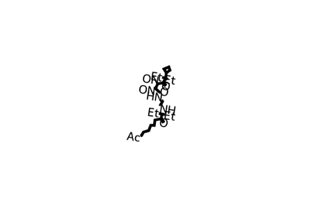 CCC(CC)(NCCNC(=O)[C@H](N=O)[C@@H](N=O)C(=O)C(CC)(CC)C1CCC1)C(=O)CCCCCCC(C)=O